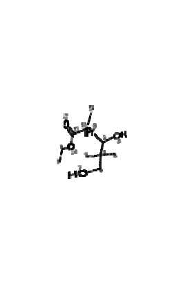 CC(C)C(O)C(C)(C)CO.CCOC(=O)CC